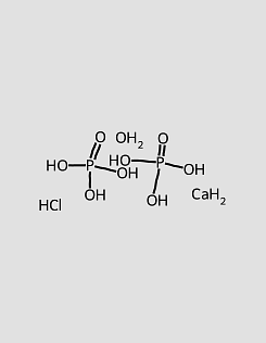 Cl.O.O=P(O)(O)O.O=P(O)(O)O.[CaH2]